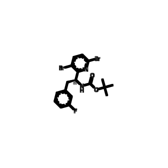 CC(C)(C)OC(=O)N[C@@H](Cc1cccc(F)c1)c1nc(Br)ccc1Br